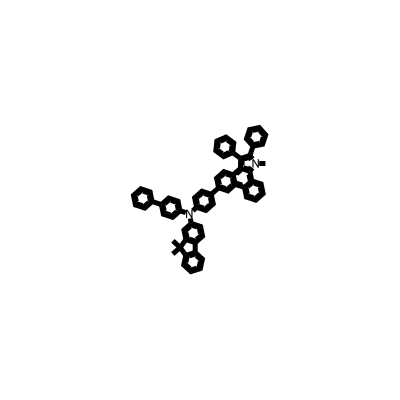 Cn1c(-c2ccccc2)c(-c2ccccc2)c2c3ccc(-c4ccc(N(c5ccc(-c6ccccc6)cc5)c5ccc6c(c5)C(C)(C)c5ccccc5-6)cc4)cc3c3ccccc3c21